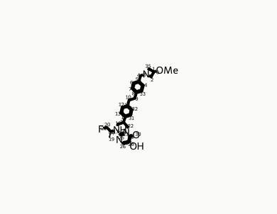 COC1CN(Cc2ccc(CCc3ccc(C(CN[C@@H](C)CF)Cn4cncc(O)c4=O)cc3)cc2)C1